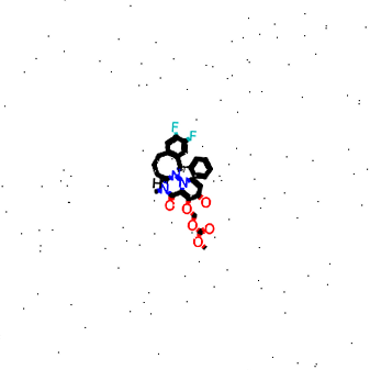 COC(=O)OCOc1c2n(ccc1=O)N1[C@@H](c3ccccc3)c3cc(F)c(F)cc3CCC[C@@H]1N(C)C2=O